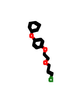 ClC=CCOCCOc1ccc(Oc2ccccc2)cc1